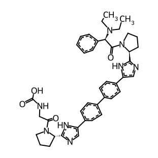 CCN(CC)[C@@H](C(=O)N1CCC[C@H]1c1ncc(-c2ccc(-c3ccc(-c4cnc([C@@H]5CCCN5C(=O)CNC(=O)O)[nH]4)cc3)cc2)[nH]1)c1ccccc1